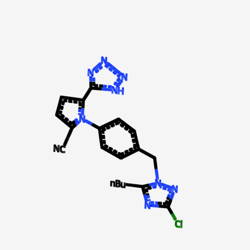 CCCCc1nc(Cl)nn1Cc1ccc(-n2c(C#N)ccc2-c2nnn[nH]2)cc1